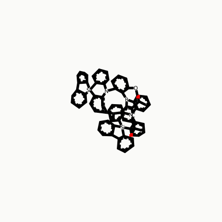 CC(C)c1cc(C(C)C)c2c(c1)C(C)c1ccc3c(c1)N(c1ccccc1[Si]31c3ccccc3-c3ccccc31)c1cccc3c1B2c1c(cccc1N1c2ccccc2[Si]2(c4ccccc4-c4ccccc42)c2ccccc21)O3